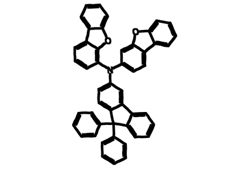 c1ccc(C2(c3ccccc3)c3ccccc3-c3cc(N(c4ccc5c(c4)oc4ccccc45)c4cccc5c4oc4ccccc45)ccc32)cc1